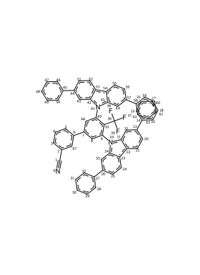 N#Cc1cccc(-c2cc(-n3c4cc(-c5ccccc5)ccc4c4ccc(-c5ccccc5)cc43)c(C(F)(F)F)c(-n3c4cc(-c5ccccc5)ccc4c4ccc(-c5ccccc5)cc43)c2)c1